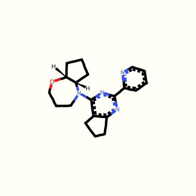 c1ccc(-c2nc3c(c(N4CCCO[C@@H]5CCC[C@@H]54)n2)CCC3)nc1